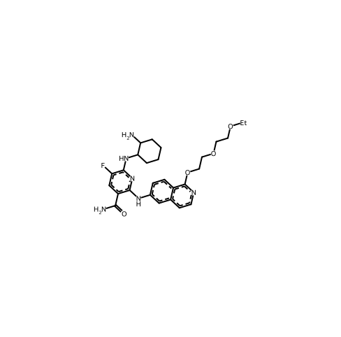 CCOCCOCCOc1nccc2cc(Nc3nc(NC4CCCCC4N)c(F)cc3C(N)=O)ccc12